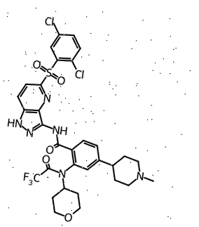 CN1CCC(c2ccc(C(=O)Nc3n[nH]c4ccc(S(=O)(=O)c5cc(Cl)ccc5Cl)nc34)c(N(C(=O)C(F)(F)F)C3CCOCC3)c2)CC1